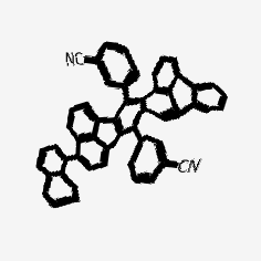 N#Cc1cccc(-c2c3cc4c5ccccc5c5cccc(c3c(-c3cccc(C#N)c3)c3c6cccc7c(-c8cccc9ccccc89)ccc(c23)c76)c54)c1